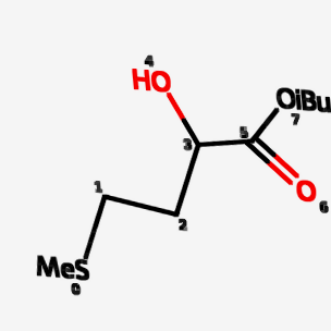 CSCCC(O)C(=O)OCC(C)C